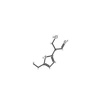 CCc1ccc(C(C=O)CCl)s1